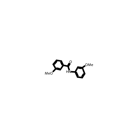 COc1cccc(NC(=O)c2cccc(OC)c2)c1